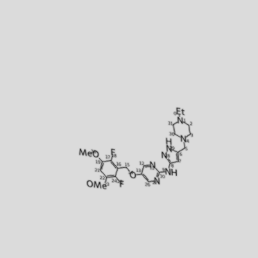 CCN1CCN(Cc2cc(Nc3ncc(OCc4c(F)c(OC)cc(OC)c4F)cn3)n[nH]2)CC1